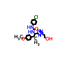 COc1ccc([C@@H](C)[C@H](NC(=O)Nc2ccc(Cl)cc2)c2nnn(CCO)n2)cc1